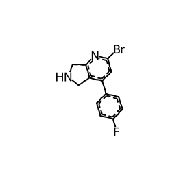 Fc1ccc(-c2cc(Br)nc3c2CNC3)cc1